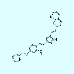 COc1cc(OCc2ccccn2)ccc1C=Cc1cc(C=Cc2ccc3cccnc3c2)[nH]n1